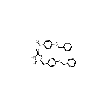 O=C1NC(=O)C(=Cc2ccc(SCc3ccccc3)cc2)S1.O=Cc1ccc(SCc2ccccc2)cc1